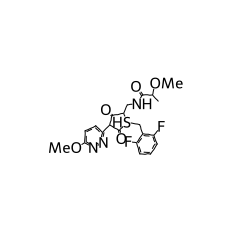 COc1ccc(C2C(=O)C(CNC(=O)C(C)OC)[SH](Cc3c(F)cccc3F)C2=O)nn1